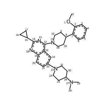 COc1ccccc1C1CCN(c2nc(C3CC3)nc3ccc(N4CCC(N(C)C)CC4)cc23)CC1